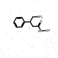 NCC(CC(=O)NO)c1ccccc1